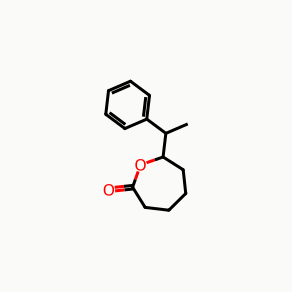 CC(c1ccccc1)C1CCCCC(=O)O1